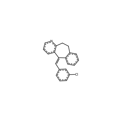 Clc1cccc(/C=C2\c3ccccc3CCc3ncccc32)c1